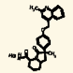 Cc1cc(COc2ccc(C3(C)CC4CCCC(C(=O)NO)N4C3=O)cc2)c2ccccc2n1